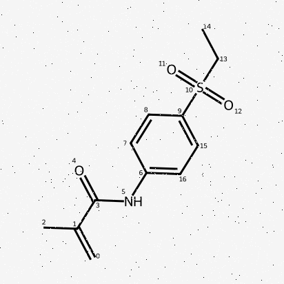 C=C(C)C(=O)Nc1ccc(S(=O)(=O)CC)cc1